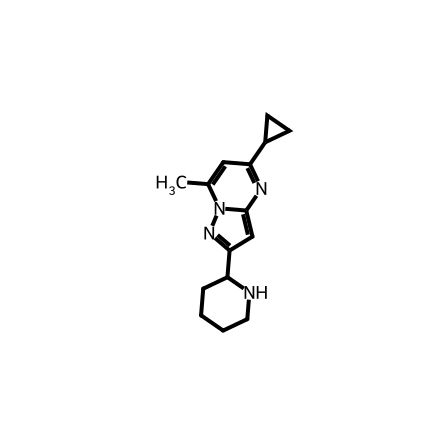 Cc1cc(C2CC2)nc2cc(C3CCCCN3)nn12